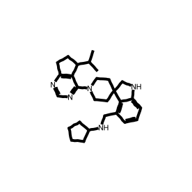 CC(C)C1CCc2ncnc(N3CCC4(CC3)CNc3cccc(CNC5CCCC5)c34)c21